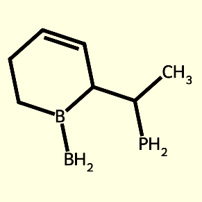 BB1CCC=CC1C(C)P